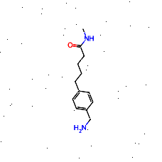 CNC(=O)CCCCc1ccc(CN)cc1